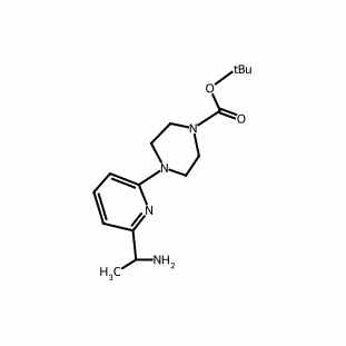 CC(N)c1cccc(N2CCN(C(=O)OC(C)(C)C)CC2)n1